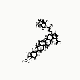 C=C(C)C1CC[C@]2(NCC(=O)N3C[C@@H]4C[C@H]3CS4(=O)=O)CC[C@]3(C)[C@H](CC[C@@H]4[C@@]5(C)CC=C(C6=CC[C@](CF)(C(=O)O)CC6)C(C)(C)[C@@H]5CC[C@]43C)[C@@H]12